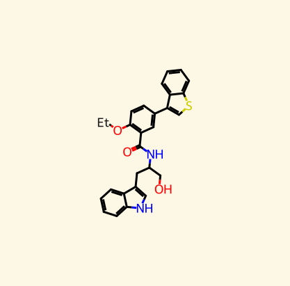 CCOc1ccc(-c2csc3ccccc23)cc1C(=O)NC(CO)Cc1c[nH]c2ccccc12